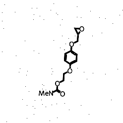 CNC(=O)OCCOc1ccc(OCC2CO2)cc1